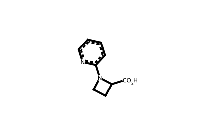 O=C(O)C1CCN1c1cc[c]cn1